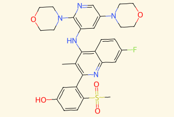 Cc1c(-c2cc(O)ccc2S(C)(=O)=O)nc2cc(F)ccc2c1Nc1cc(N2CCOCC2)cnc1N1CCOCC1